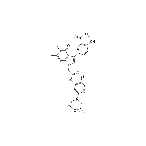 Cc1nc2c(c(-c3ccc(O)c(C(N)=O)c3)cn2CC(=O)Nc2cc(N3C[C@@H](C)O[C@@H](C)C3)ncc2Cl)c(=O)n1C